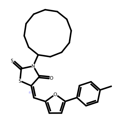 Cc1ccc(-c2ccc(/C=C3/SC(=S)N(C4CCCCCCCCCCC4)C3=O)o2)cc1